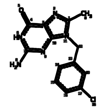 Cc1nc2c(=O)[nH]c(N)nc2n1Cc1cccc(Cl)c1